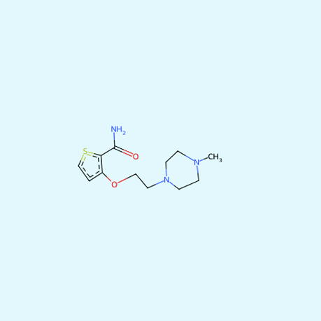 CN1CCN(CCOc2ccsc2C(N)=O)CC1